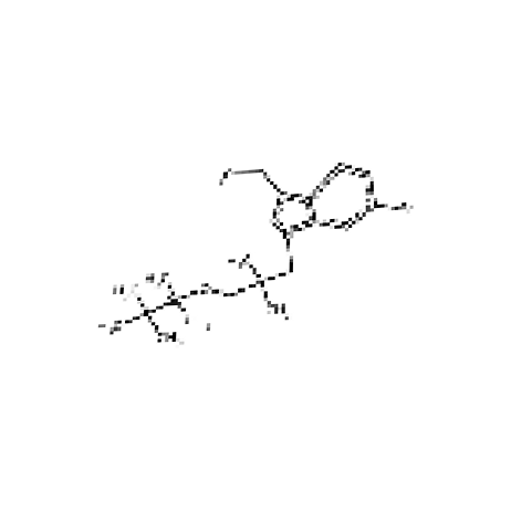 CCc1cn(CC(C)(C)CO[Si](C)(C)C(C)(C)C)c2cc(Br)ccc12